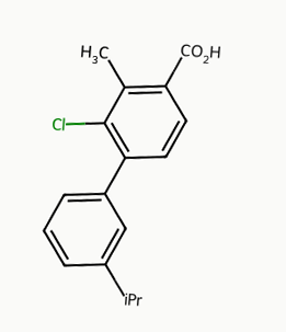 Cc1c(C(=O)O)ccc(-c2cccc(C(C)C)c2)c1Cl